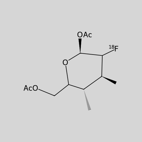 CC(=O)OCC1O[C@@H](OC(C)=O)C([18F])[C@@H](C)[C@@H]1C